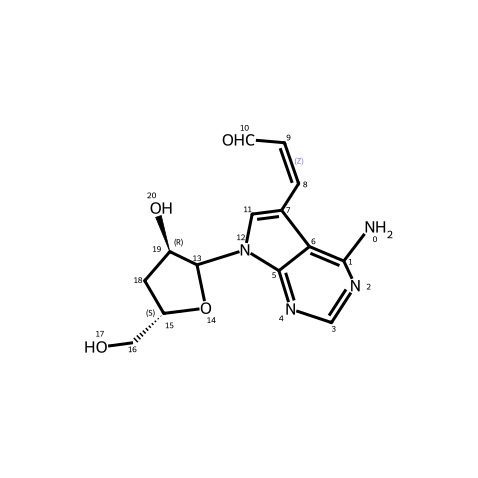 Nc1ncnc2c1c(/C=C\C=O)cn2C1O[C@H](CO)C[C@H]1O